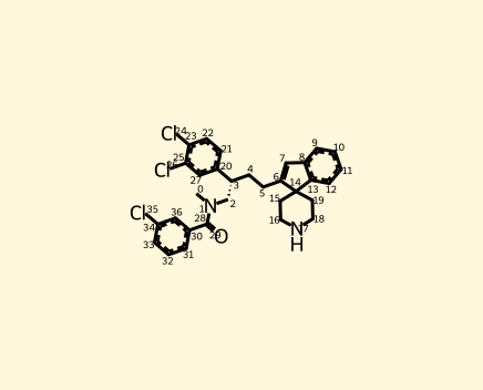 CN(C[C@@H](CCC1=Cc2ccccc2C12CCNCC2)c1ccc(Cl)c(Cl)c1)C(=O)c1cccc(Cl)c1